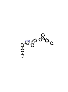 N=C(/C=C\N=C\n1c2ccccc2c2cc(-c3ccc4c(c3)c3ccccc3n4-c3ccc(-c4ccccc4)cc3)ccc21)c1cccc(-c2ccc(-c3ccccc3)cc2)c1